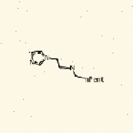 CCCCCCN=CCn1c[c]nc1